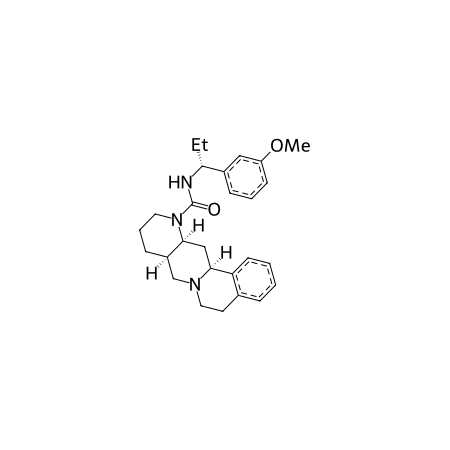 CC[C@@H](NC(=O)N1CCC[C@@H]2CN3CCc4ccccc4[C@@H]3C[C@@H]21)c1cccc(OC)c1